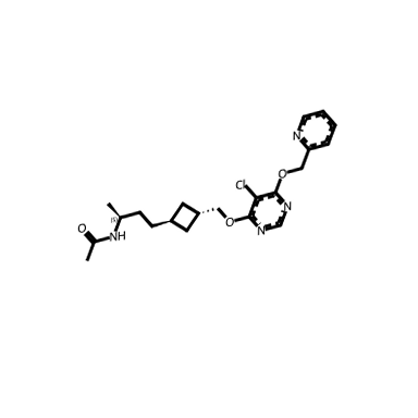 CC(=O)N[C@@H](C)CC[C@H]1C[C@H](COc2ncnc(OCc3ccccn3)c2Cl)C1